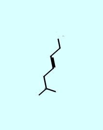 CCCCCCC=CCC(CC)C(=O)O